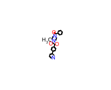 C[C@@H]1CN(C(=O)c2ccccc2)CCN1C(=O)C(=O)c1ccc(-c2cccnc2)cc1